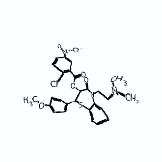 COc1ccc([C@@H]2Sc3ccccc3N(CCN(C)C)C(=O)[C@@H]2OC(=O)c2cc([N+](=O)[O-])ccc2Cl)cc1